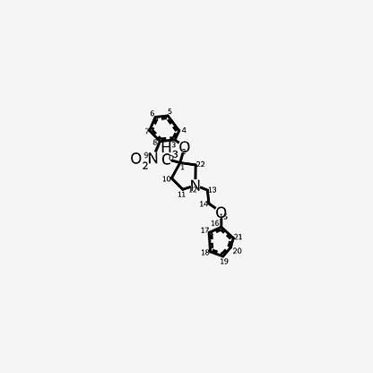 CC1(Oc2ccccc2[N+](=O)[O-])CCN(CCOc2ccccc2)C1